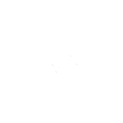 Cc1ccc2[nH]c(C(C)(C)c3nc4cc(C)ccc4[nH]3)nc2c1